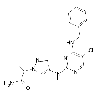 CC(C(N)=O)n1cc(Nc2ncc(Cl)c(NCc3ccccc3)n2)cn1